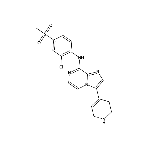 CS(=O)(=O)c1ccc(Nc2nccn3c(C4=CCNCC4)cnc23)c(Cl)c1